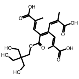 CC(=CC(C=C(C)C(=O)O)=C(C=C(C)C(=O)O)C(=O)OCC(CO)(CO)CO)C(=O)O